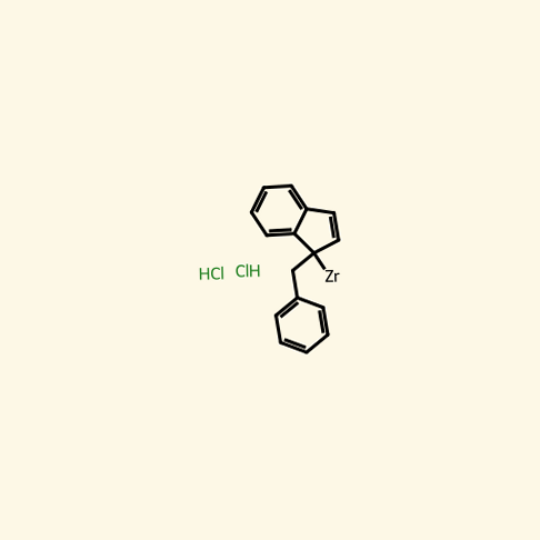 Cl.Cl.[Zr][C]1(Cc2ccccc2)C=Cc2ccccc21